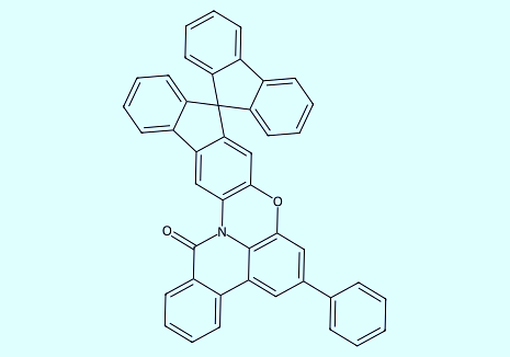 O=c1c2ccccc2c2cc(-c3ccccc3)cc3c2n1-c1cc2c(cc1O3)C1(c3ccccc3-c3ccccc31)c1ccccc1-2